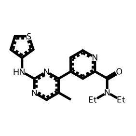 CCN(CC)C(=O)c1cc(-c2nc(Nc3ccsc3)ncc2C)ccn1